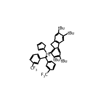 CC(C)(C)c1cc2c(cc1C(C)(C)C)-c1cc(C(C)(C)C)c(C(C)(C)C)[c]([Hf]([C]3=CC=CC3)=[C](c3cccc(C(F)(F)F)c3)c3cccc(C(F)(F)F)c3)c1C2